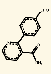 NC(=O)c1cccnc1-c1ccc(C=O)cc1